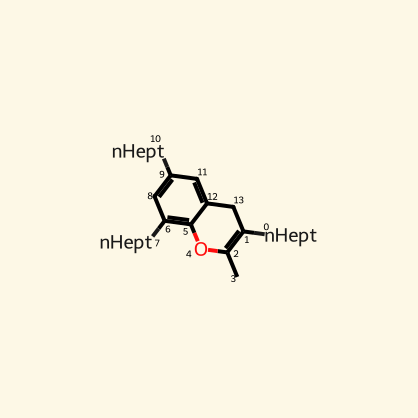 CCCCCCCC1=C(C)Oc2c(CCCCCCC)cc(CCCCCCC)cc2C1